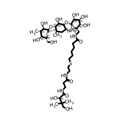 C[C@H]1[C@H](O)[C@@H](CO)C[C@H](O[C@@H]2[C@@H](O)[C@H](O[C@H]3O[C@H](CNC(=O)CCCCCSCCNC(=O)CCNC(=O)[C@H](O)C(C)(C)CO)[C@@H](O)[C@H](O)[C@H]3O)[C@@H](N)C[C@H]2C)[C@@H]1O